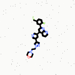 FCc1ccc(F)c(-c2cc(-c3cncc(-c4cnn(CCN5CCOCC5)c4)c3)c3cccnc3n2)c1